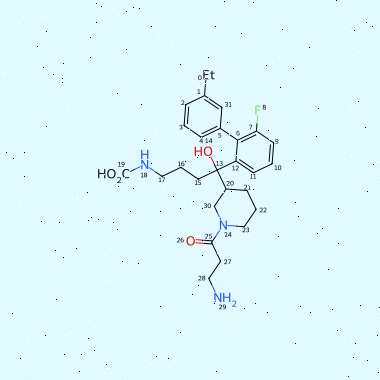 CCc1cccc(-c2c(F)cccc2C(O)(CCCNC(=O)O)C2CCCN(C(=O)CCN)C2)c1